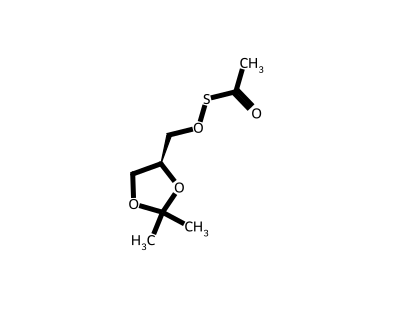 CC(=O)SOC[C@@H]1COC(C)(C)O1